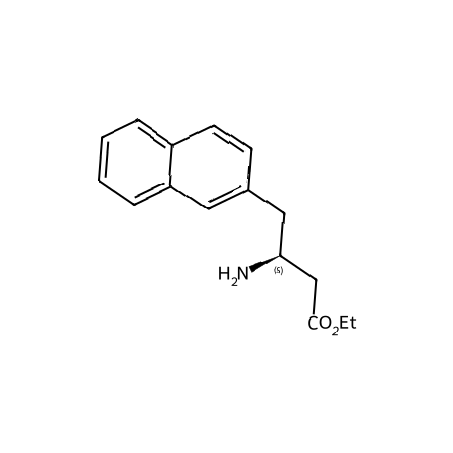 CCOC(=O)C[C@@H](N)Cc1ccc2ccccc2c1